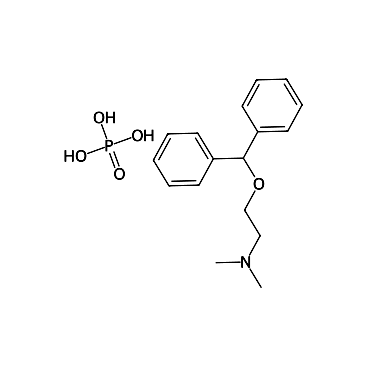 CN(C)CCOC(c1ccccc1)c1ccccc1.O=P(O)(O)O